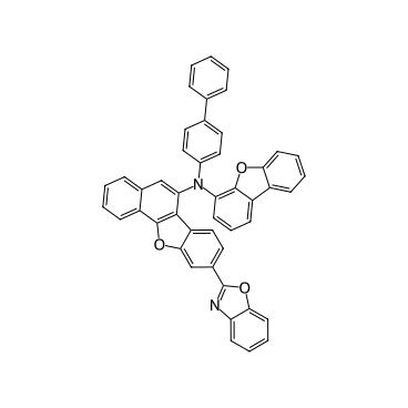 c1ccc(-c2ccc(N(c3cccc4c3oc3ccccc34)c3cc4ccccc4c4oc5cc(-c6nc7ccccc7o6)ccc5c34)cc2)cc1